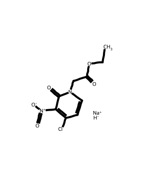 CCOC(=O)Cn1ccc(Cl)c([N+](=O)[O-])c1=O.[H-].[Na+]